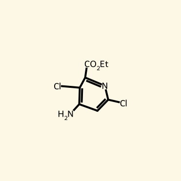 CCOC(=O)c1nc(Cl)cc(N)c1Cl